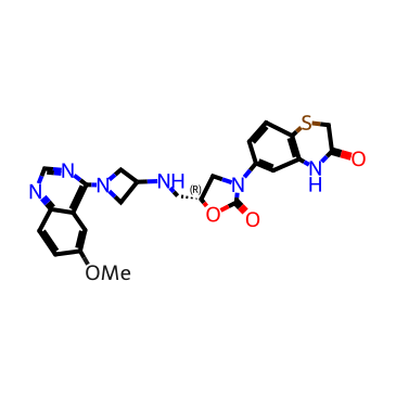 COc1ccc2ncnc(N3CC(NC[C@@H]4CN(c5ccc6c(c5)NC(=O)CS6)C(=O)O4)C3)c2c1